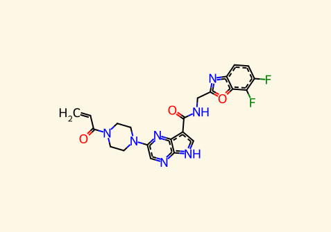 C=CC(=O)N1CCN(c2cnc3[nH]cc(C(=O)NCc4nc5ccc(F)c(F)c5o4)c3n2)CC1